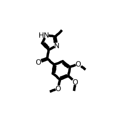 COc1cc(C(=O)c2c[nH]c(C)n2)cc(OC)c1OC